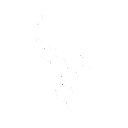 Cc1c(Nc2ccc(Br)cc2F)c(-c2nnc(NCCN)o2)cn(C)c1=O